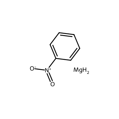 O=[N+]([O-])c1ccccc1.[MgH2]